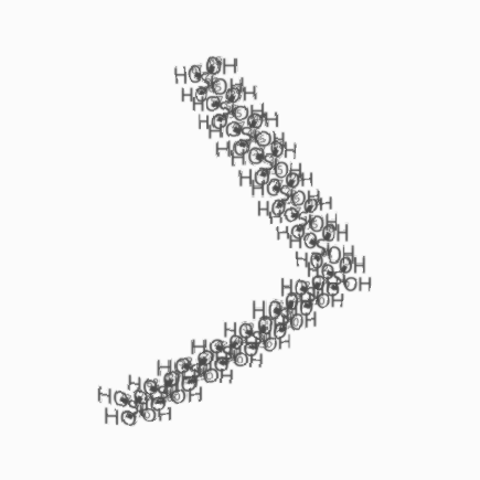 O[Si](O)(O)O.O[Si](O)(O)O.O[Si](O)(O)O.O[Si](O)(O)O.O[Si](O)(O)O.O[Si](O)(O)O.O[Si](O)(O)O.O[Si](O)(O)O.O[Si](O)(O)O.O[Si](O)(O)O.O[Si](O)(O)O.O[Si](O)(O)O.O[Si](O)(O)O.O[Si](O)(O)O.O[Si](O)(O)O